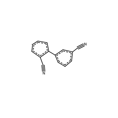 N#Cc1cccc(-c2cc[c]cc2C#N)c1